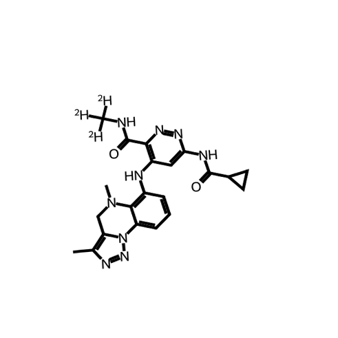 [2H]C([2H])([2H])NC(=O)c1nnc(NC(=O)C2CC2)cc1Nc1cccc2c1N(C)Cc1c(C)nnn1-2